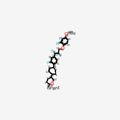 CCCCCC1CCC(C2CCC(c3ccc(C(F)C(F)COc4ccc(OCCCC)cc4F)cc3F)CC2)CO1